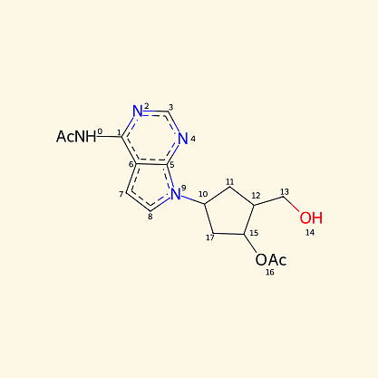 CC(=O)Nc1ncnc2c1ccn2C1CC(CO)C(OC(C)=O)C1